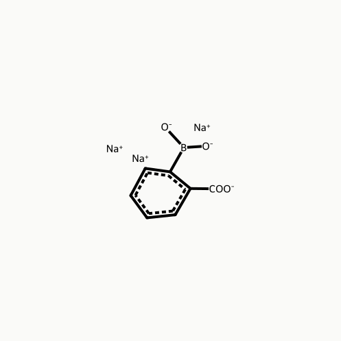 O=C([O-])c1ccccc1B([O-])[O-].[Na+].[Na+].[Na+]